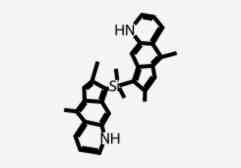 Cc1cc2c(C)c3ccc[nH]c3cc2c1[Si](C)(C)c1c(C)cc2c(C)c3ccc[nH]c3cc12